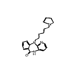 O=C1Nc2cccnc2N(CCCCCCN2CCCC2)c2ccccc21